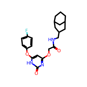 O=C(COc1cc(Oc2ccc(F)cc2)[nH]c(=O)n1)NCC1CC2CCCC(C2)C1